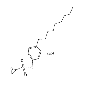 CCCCCCCCCc1ccc(OS(=O)(=O)C2CO2)cc1.[NaH]